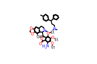 CCOc1c(N)c2c(c(OCC)c1OCC)C(C1c3c(cc4c(c3OC)OCO4)CCN1C)OC2=O.Cc1ccc(C(CCN(C)C)c2ccccc2)cc1